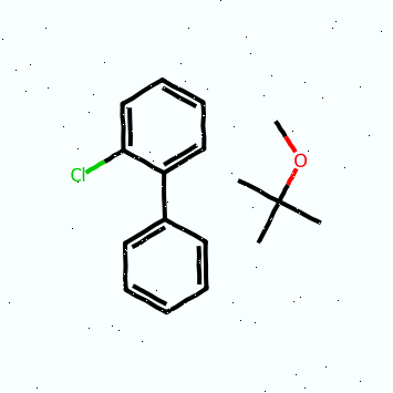 COC(C)(C)C.Clc1ccccc1-c1ccccc1